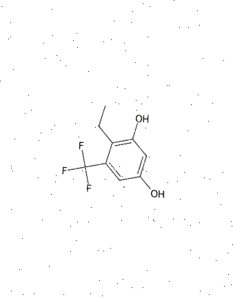 CCc1c(O)cc(O)cc1C(F)(F)F